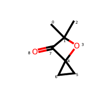 CC1(C)OC2(CC2)C1=O